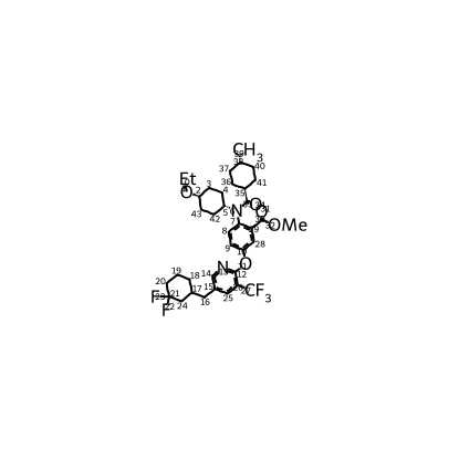 CCO[C@H]1CC[C@H](N(c2ccc(Oc3ncc(CC4CCCC(F)(F)C4)cc3C(F)(F)F)cc2C(=O)OC)C(=O)[C@H]2CC[C@H](C)CC2)CC1